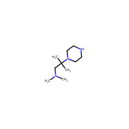 CN(C)CC(C)(C)N1CCNCC1